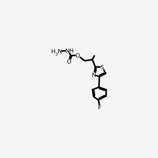 CC(COC(=O)NN)c1nc(-c2ccc(F)cc2)cs1